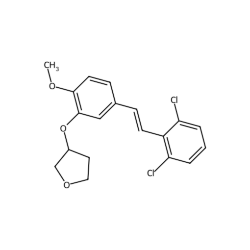 COc1ccc(C=Cc2c(Cl)cccc2Cl)cc1OC1CCOC1